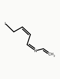 C=C/N=C\C=C/CI